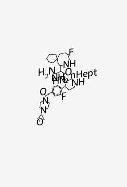 CCCCCCCC1NCCC(c2ccc(C(=O)N3CCN(C4COC4)CC3)cc2F)C1NC(=O)C(C(N)N)C1CC2(CCCCC2)CCC(F)CN1